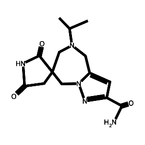 CC(C)N1Cc2cc(C(N)=O)nn2CC2(CC(=O)NC2=O)C1